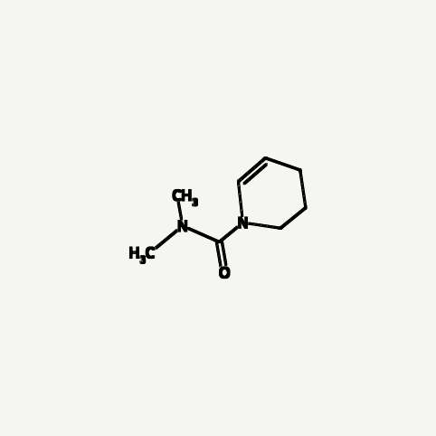 CN(C)C(=O)N1C=CCCC1